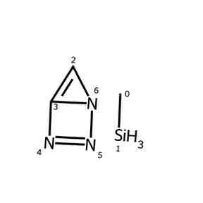 C[SiH3].c1c2nnn1-2